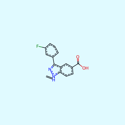 C=C.O=C(O)c1ccc2[nH]nc(-c3cccc(F)c3)c2c1